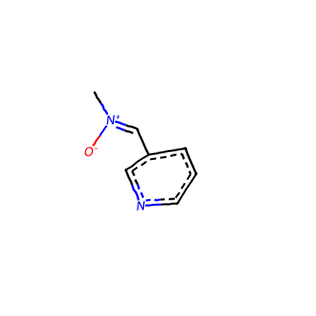 C/[N+]([O-])=C/c1cccnc1